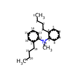 CCCCc1ccccc1N(C)c1ccccc1CCCC